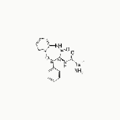 C[C@H](N)C(=O)N[C@@H]1C(=O)Nc2ccccc2O[C@@H]1c1ccccc1